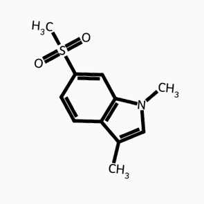 Cc1cn(C)c2cc(S(C)(=O)=O)ccc12